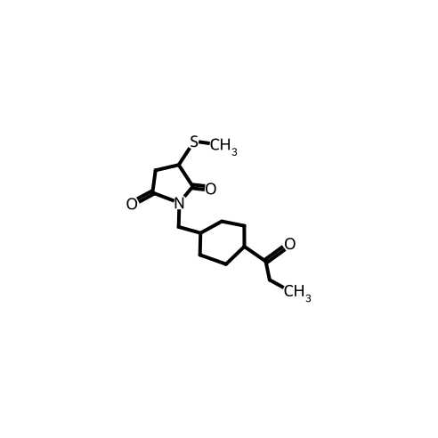 CCC(=O)C1CCC(CN2C(=O)CC(SC)C2=O)CC1